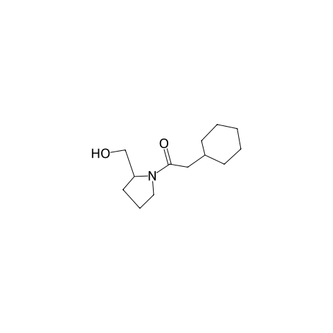 O=C(CC1CCCCC1)N1CCCC1CO